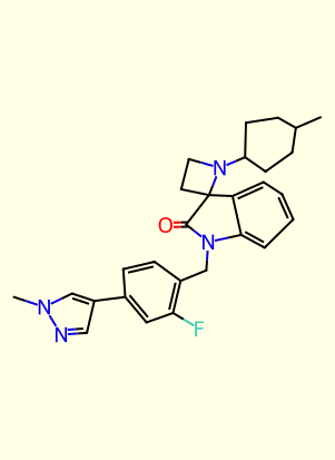 CC1CCC(N2CCC23C(=O)N(Cc2ccc(-c4cnn(C)c4)cc2F)c2ccccc23)CC1